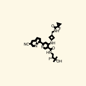 CC(C)(O)[C@H](F)CNC(=O)c1cnc(-c2ccc3cc(C#N)cnn23)cc1N[C@H]1C[C@H](CNC(=O)C2(F)CC2)C1